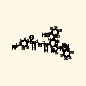 N#Cc1ccc(C(=O)NCCCNC2=CC(c3ccccc3O)=NC3=C(n4nnc5ccccc54)C=NC23)cc1